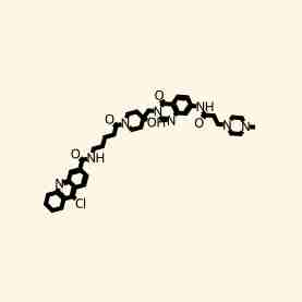 CN1CCN(CCC(=O)Nc2ccc3c(=O)n(CC4(O)CCN(C(=O)CCCCNC(=O)c5ccc6c(Cl)c7c(nc6c5)CCCC7)CC4)cnc3c2)CC1